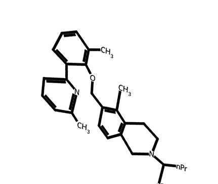 CCCC(CCC)N1CCc2c(ccc(COc3c(C)cccc3-c3cccc(C)n3)c2C)C1